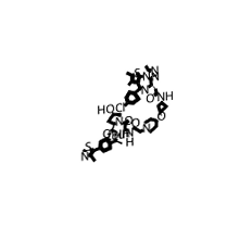 Cc1ncsc1-c1ccc([C@H](C)NC(=O)[C@H]2C[C@H](O)CN2C(=O)[C@@H](NC(=O)CN2CCC(O[C@H]3C[C@H](NC(=O)C[C@@H]4N=C(c5ccc(Cl)cc5)c5c(sc(C)c5C)-n5c(C)nnc54)C3)CC2)C(C)(C)C)cc1